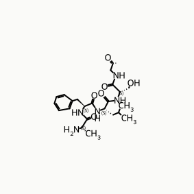 CC(C)C[C@H](NC(=O)[C@H](Cc1ccccc1)NC(=O)[C@H](C)N)C(=O)N[C@@H](CO)C(=O)NC[C]=O